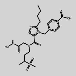 CCCCc1ncc(C(=O)N(CCC(C)S(C)(=O)=O)CC(=O)NO)n1Cc1ccc(C(=O)O)cc1